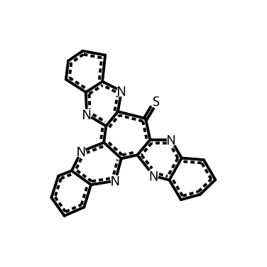 S=c1c2nc3ccccc3nc2c2nc3ccccc3nc2c2nc3ccccc3nc12